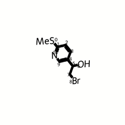 CSc1ccc(C(O)CBr)cn1